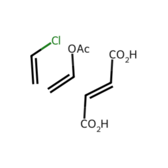 C=CCl.C=COC(C)=O.O=C(O)/C=C/C(=O)O